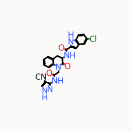 N#Cc1c[nH]nc1NC(=O)CN1C(=O)C(NC(=O)c2cc3cc(Cl)ccc3[nH]2)Cc2ccccc21